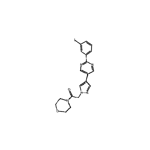 O=C(Cn1cc(-c2cnc(-c3cccc(I)c3)nc2)cn1)N1CCOCC1